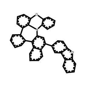 c1ccc2c(c1)Oc1cccc3c1N2c1cc(-c2ccc4oc5ccccc5c4c2)c2ccccc2c1-c1ccccc1-3